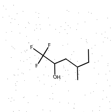 CCC(C)CC(O)C(F)(F)F